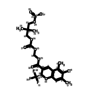 Cc1cc2c(c(C)c1Cl)C=C(C(=O)OCOC(=O)OCC(C)(C)CO[N+](=O)[O-])[C@@H](C(F)(F)F)O2